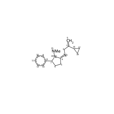 C=C(C/N=C1/CCC(c2ccccc2)N1NC)C1CC1